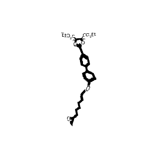 CCOC(=O)[C@@H]1OC(c2ccc(-c3ccc(OCCCCCCC4CO4)cc3)cc2)O[C@H]1C(=O)OCC